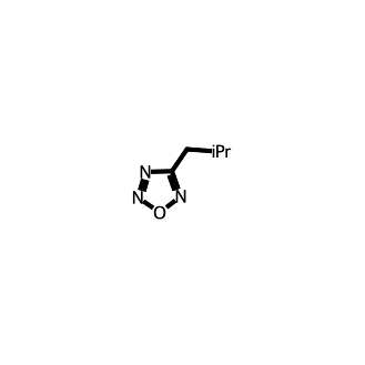 CC(C)Cc1nnon1